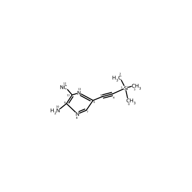 C[Si](C)(C)C#Cc1cnc(N)c(C#N)n1